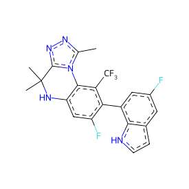 Cc1nnc2n1-c1c(cc(F)c(-c3cc(F)cc4cc[nH]c34)c1C(F)(F)F)NC2(C)C